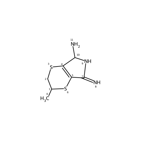 CC1CSC2=C(S1)C(=N)NC2N